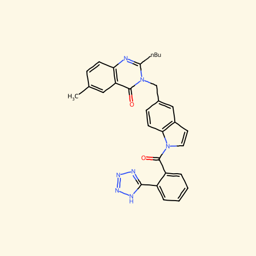 CCCCc1nc2ccc(C)cc2c(=O)n1Cc1ccc2c(ccn2C(=O)c2ccccc2-c2nnn[nH]2)c1